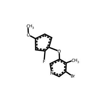 COc1ccc(Oc2cncc(Br)c2C)c(F)c1